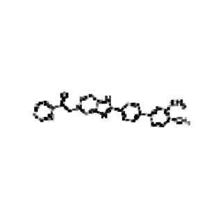 Cc1ccc(-c2ccc(-c3nc4ccn(CC(=O)c5ccccn5)cc-4n3)cc2)cc1C